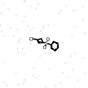 O=S(=O)(c1ccccc1)C12CC(Cl)(C1)C2